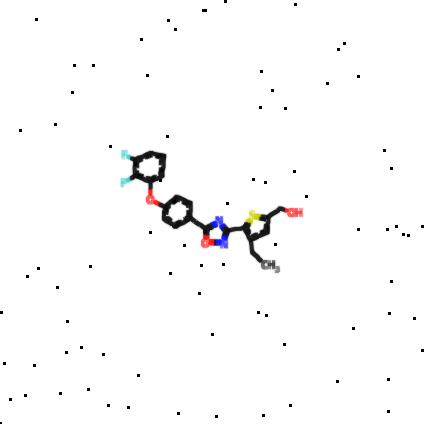 CCc1cc(CO)sc1-c1noc(-c2ccc(Oc3cccc(F)c3F)cc2)n1